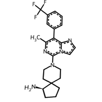 Cc1nc(N2CCC3(CCC[C@H]3N)CC2)n2ccnc2c1-c1cccc(C(F)(F)F)c1